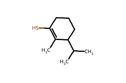 CC1=C(S)CCCC1C(C)C